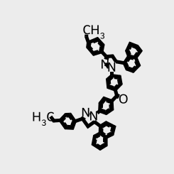 CCc1ccc(C2=NN(c3ccc(C(=O)c4ccc(N5N=C(c6ccc(CC)cc6)CC5c5cccc6ccccc56)cc4)cc3)C(c3cccc4ccccc34)C2)cc1